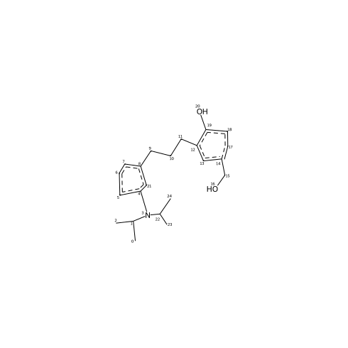 CC(C)N(c1cccc(CCCc2cc(CO)ccc2O)c1)C(C)C